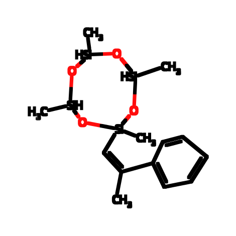 CC(=C[Si]1(C)O[SiH](C)O[SiH](C)O[SiH](C)O1)c1ccccc1